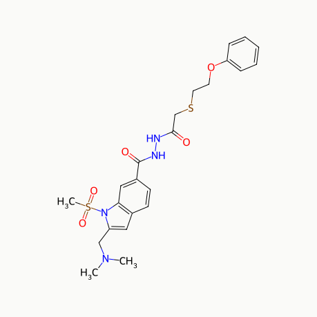 CN(C)Cc1cc2ccc(C(=O)NNC(=O)CSCCOc3ccccc3)cc2n1S(C)(=O)=O